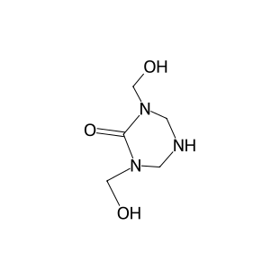 O=C1N(CO)CNCN1CO